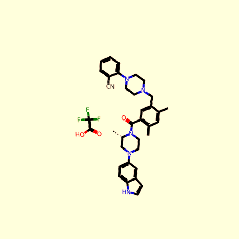 Cc1cc(C)c(C(=O)N2CCN(c3ccc4[nH]ccc4c3)C[C@@H]2C)cc1CN1CCN(c2ccccc2C#N)CC1.O=C(O)C(F)(F)F